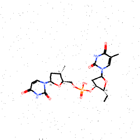 CC[C@H]1OC(n2cc(C)c(=O)[nH]c2=O)C[C@@H]1OP(=O)(O)OC[C@H]1O[C@@H](n2ccc(=O)[nH]c2=O)C[C@@H]1C